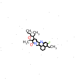 CCCC(=O)C(CC)c1cc2n(c(=O)c1CC)Cc1c-2nc2cc(F)c(CC)c3c2c1CCC3